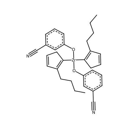 CCCCC1=[C]([Zr]([O]c2cccc(C#N)c2)([O]c2cccc(C#N)c2)[C]2=C(CCCC)C=CC2)CC=C1